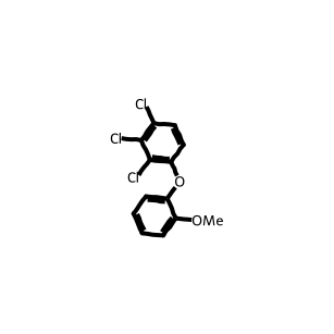 COc1ccccc1Oc1ccc(Cl)c(Cl)c1Cl